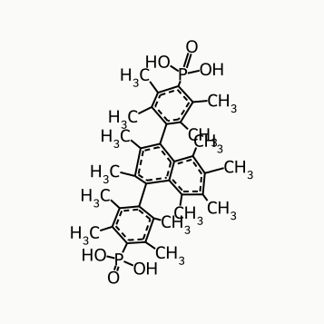 Cc1c(C)c(P(=O)(O)O)c(C)c(C)c1-c1c(C)c(C)c(-c2c(C)c(C)c(P(=O)(O)O)c(C)c2C)c2c(C)c(C)c(C)c(C)c12